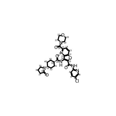 O=C(Nc1ccc(Cl)cn1)c1oc2ccc(C(=O)N3CCOCC3)nc2c1NC(=O)[C@H]1CC[C@H](N2CCCC2=O)CC1